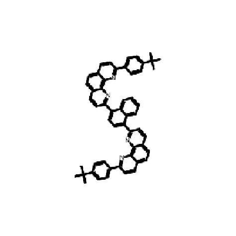 CC(C)(C)c1ccc(-c2ccc3ccc4ccc(-c5ccc(-c6ccc7ccc8ccc(-c9ccc(C(C)(C)C)cc9)nc8c7n6)c6ccccc56)nc4c3n2)cc1